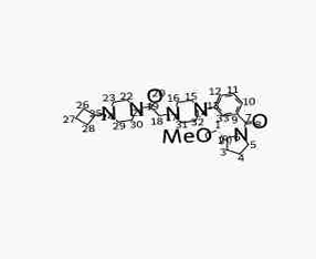 COC[C@H]1CCCN1C(=O)c1cccc(N2CCN(CC(=O)N3CCN(C4CCC4)CC3)CC2)c1